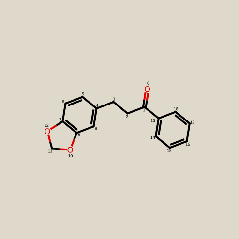 O=C(CCc1ccc2c(c1)OCO2)c1ccccc1